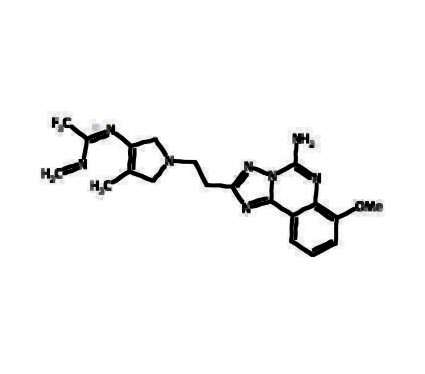 C=N/C(=N\C1=C(C)CN(CCc2nc3c4cccc(OC)c4nc(N)n3n2)C1)C(F)(F)F